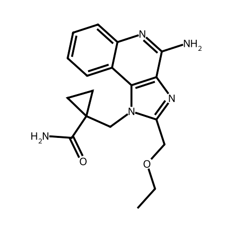 CCOCc1nc2c(N)nc3ccccc3c2n1CC1(C(N)=O)CC1